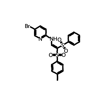 Cc1ccc(S(=O)(=O)C(=CNc2ccc(Br)cn2)S(=O)(=O)c2ccccc2)cc1